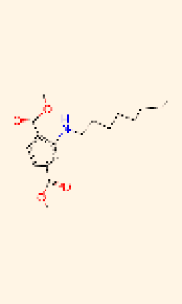 CCCCCCCCNc1cc(C(=O)OC)ccc1C(=O)OC